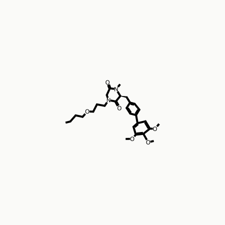 CCCCOCCCN1CC(=O)N(C)[C@@H](Cc2ccc(-c3cc(OC)c(OC)c(OC)c3)cc2)C1=O